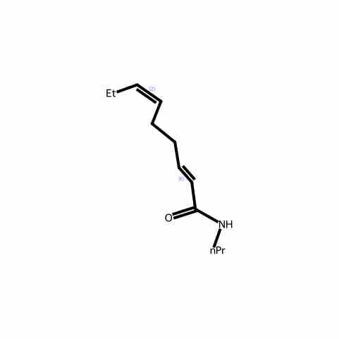 CC/C=C\CC/C=C/C(=O)NCCC